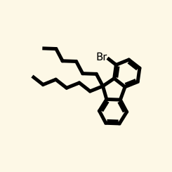 CCCCCCC1(CCCCCC)c2ccccc2-c2cccc(Br)c21